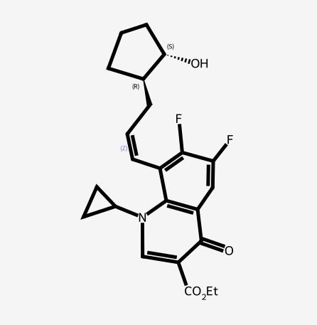 CCOC(=O)c1cn(C2CC2)c2c(/C=C\C[C@H]3CCC[C@@H]3O)c(F)c(F)cc2c1=O